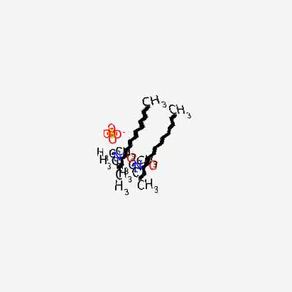 CCCCCCCCCCCC(=O)C(CCC)[N+](C)(C)C.CCCCCCCCCCCC(=O)C(CCC)[N+](C)(C)C.O=S(=O)([O-])[O-]